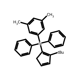 Cc1cc(C)cc([Si](C2=C(C(C)(C)C)C=CC2)(c2ccccc2)c2ccccc2)c1